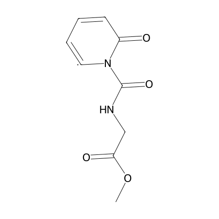 COC(=O)CNC(=O)n1[c]cccc1=O